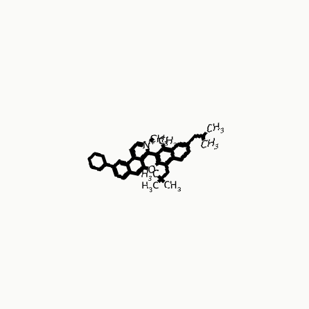 Cc1c2c(c(CC(C)(C)C)c3ccc(CC(C)C)cc13)Oc1cc3ccc(C4CCCCC4)cc3c3cc[n+](C)c-2c13